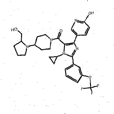 O=C(c1c(-c2ccc(O)nc2)nc(-c2cccc(OC(F)(F)F)c2)n1C1CC1)N1CCC(N2CCCC2CO)CC1